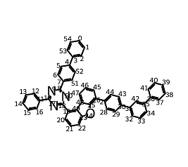 c1ccc(-c2ccc(-c3nc(-c4ccccc4)nc(-c4cccc5oc6c(-c7ccc(-c8cccc(-c9ccccc9)c8)cc7)cccc6c45)n3)cc2)cc1